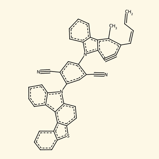 C=C/C=C\c1c#cc2c(c1C)c1ccccc1n2-c1cc(C#N)c(-n2c3ccccc3c3c4c(ccc32)sc2ccccc24)cc1C#N